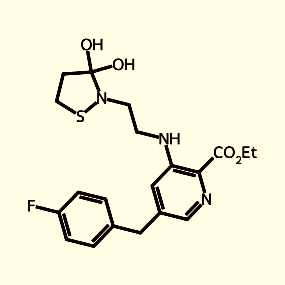 CCOC(=O)c1ncc(Cc2ccc(F)cc2)cc1NCCN1SCCC1(O)O